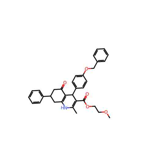 COCCOC(=O)C1=C(C)NC2=C(C(=O)CC(c3ccccc3)C2)C1c1ccc(OCc2ccccc2)cc1